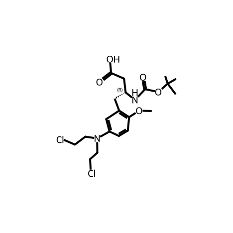 COc1ccc(N(CCCl)CCCl)cc1C[C@H](CC(=O)O)NC(=O)OC(C)(C)C